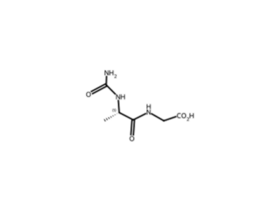 C[C@H](NC(N)=O)C(=O)NCC(=O)O